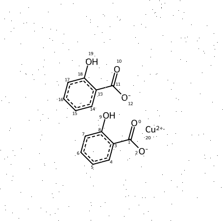 O=C([O-])c1ccccc1O.O=C([O-])c1ccccc1O.[Cu+2]